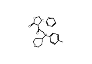 O=C(C[C@@H](c1ccc(F)cc1)C1CCOCC1)N1C(=O)OC[C@@H]1c1ccccc1